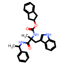 CC(NC(=O)C(C)(Cc1c[nH]c2ccccc12)NC(=O)OC1Cc2ccccc2C1)c1ccccc1